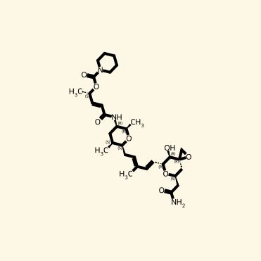 CC(C=C[C@H]1O[C@H](CC(N)=O)C[C@@]2(CO2)[C@@H]1O)=CC[C@@H]1O[C@H](C)[C@H](NC(=O)C=C[C@H](C)OC(=O)N2CCCCC2)C[C@@H]1C